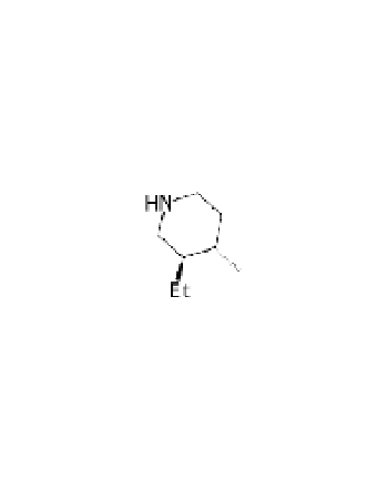 CC[C@H]1CNCC[C@@H]1C